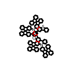 c1ccc(N(c2ccc3c(c2)C2(c4ccccc4-c4ccccc42)c2ccccc2-3)c2ccc3c(c2)C2(c4ccccc4-c4ccccc42)c2ccccc2-3)c(-c2ccc3oc4c(-c5ccc6c(c5)C5(c7ccccc7-6)c6ccccc6-c6ccc(N(c7ccc8c(c7)C7(c9ccccc9-c9ccccc97)c7ccccc7-8)c7ccccc7-c7ccc8sc9ccccc9c8c7)cc65)cccc4c3c2)c1